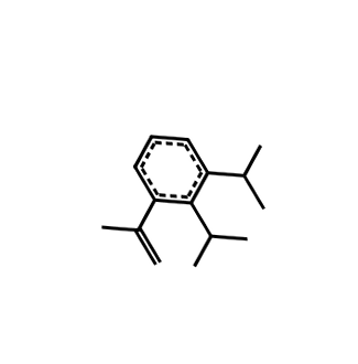 C=C(C)c1cccc(C(C)C)c1C(C)C